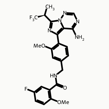 COc1ccc(F)cc1C(=O)NCc1ccc(-c2nc([C@H](C)C(F)(F)F)n3ncnc(N)c23)c(OC)c1